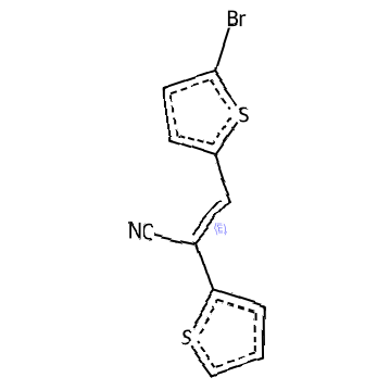 N#C/C(=C\c1ccc(Br)s1)c1cccs1